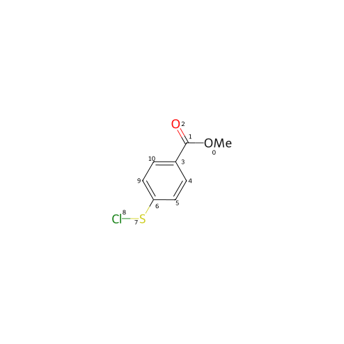 COC(=O)c1ccc(SCl)cc1